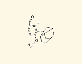 COc1ccc(C=O)c(F)c1C12CC3CC(CC(C3)C1)C2